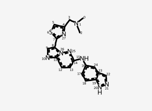 CN(C)Cc1csc(-c2cnc3ccc(Nc4ccc5[nH]ncc5c4)nn23)n1